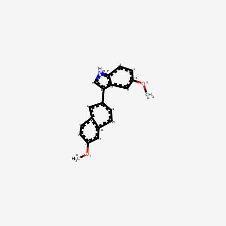 COc1ccc2cc(-c3c[nH]c4ccc(OC)cc34)ccc2c1